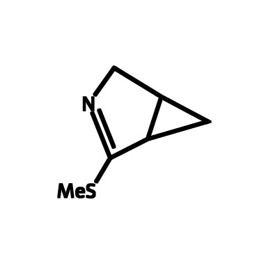 CSC1=NCC2CC12